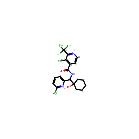 O=C(NC(c1cccc(Cl)n1)C1(O)CCCCC1)c1ccnc(C(F)(F)F)c1Cl